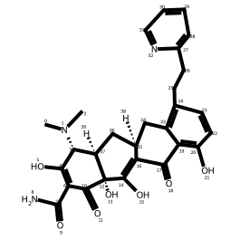 CN(C)[C@H]1C(O)=C(C(N)=O)C(=O)[C@]2(O)C(O)=C3C(=O)c4c(O)ccc(CCc5ccccn5)c4C[C@@H]3C[C@H]12